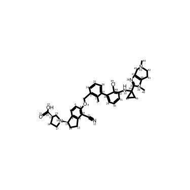 Cc1c(COc2ccc3c(c2C#N)CC[C@H]3N2CC[C@@H](C(=O)O)C2)cccc1-c1cccc(NC2(c3nc4c(n3C)CCN(C)C4)CC2)c1Cl